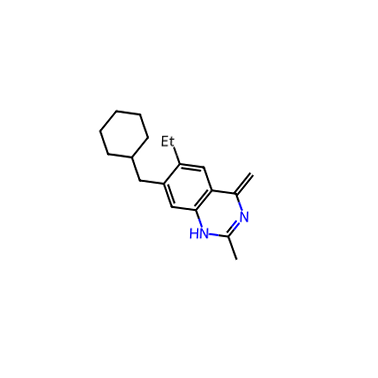 C=C1N=C(C)Nc2cc(CC3CCCCC3)c(CC)cc21